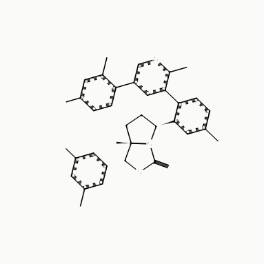 Cc1cc([C@H]2NC(=O)N3[C@H](c4cc(C)ccc4-c4cc(-c5ccc(C(=O)O)cc5C)cnc4C)CC[C@@H]23)cc(C(F)(F)F)c1